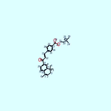 CC1=CCC(C)(C)c2cc(C(=O)C=Cc3ccc(C(=O)OCC[Si](C)(C)C)cc3)ccc21